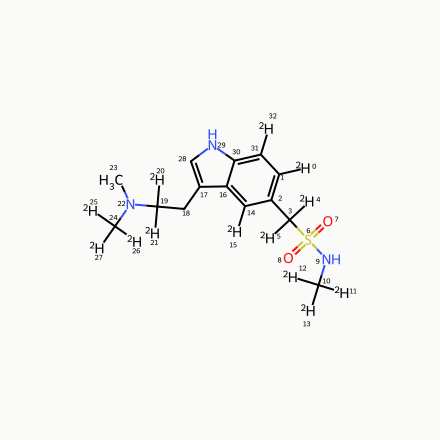 [2H]c1c(C([2H])([2H])S(=O)(=O)NC([2H])([2H])[2H])c([2H])c2c(CC([2H])([2H])N(C)C([2H])([2H])[2H])c[nH]c2c1[2H]